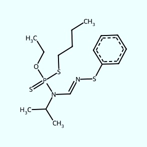 CCCCSP(=S)(OCC)N(C=NSc1ccccc1)C(C)C